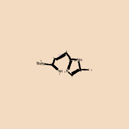 CNC(=N)/C=C\c1ncc(I)[nH]1